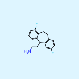 NCCC1c2cc(F)ccc2CCc2c(F)cccc21